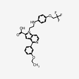 CCOc1cccc(-c2nccc3c2cc(C(=O)O)n3CCNc2ccc(OCC(F)(F)F)cc2)c1